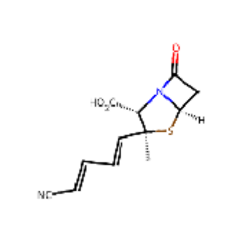 C[C@@]1(/C=C/C=C/C#N)S[C@@H]2CC(=O)N2[C@H]1C(=O)O